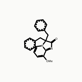 COC1=CC=CN2C1=NC(=O)C2(Cc1ccccc1)Cc1ccccc1